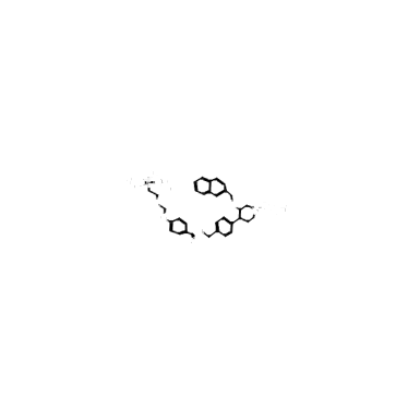 C[Si](C)(C)CCOCOc1ccc(C(=O)OCc2ccc(C3CCN(C(=O)O)CC3OCc3ccc4ccccc4c3)cc2)cc1